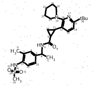 Cc1cc(C(C)NC(=O)C2CC2c2ccc(C(C)(C)C)nc2N2CCCCC2)ccc1NS(C)(=O)=O